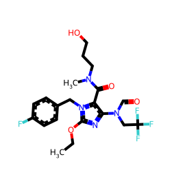 CCOc1nc(N(C=O)CC(F)(F)F)c(C(=O)N(C)CCCO)n1Cc1ccc(F)cc1